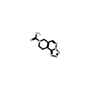 CC(=O)N1CCc2c(cnn3nnnc23)C1